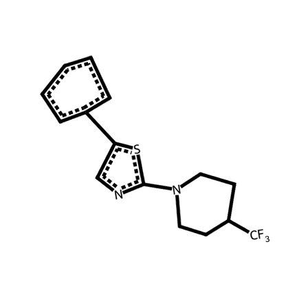 FC(F)(F)C1CCN(c2ncc(-c3ccccc3)s2)CC1